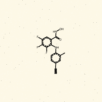 C#Cc1ccc(Nc2c(C(=O)NO)cc(F)c(F)c2F)c(C)c1